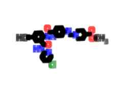 C#Cc1ccc(NC(=O)c2ccc(N=CN3CCC(C(=O)OC)CC3)cc2)c(C(=O)Nc2ccc(Cl)cn2)c1